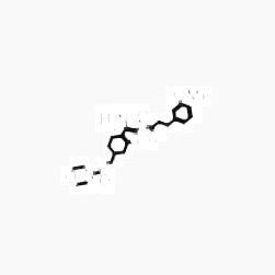 COc1cccc(CCC(=O)Nc2sc3c(c2N)CCC(COC(=O)N2CCOCC2)C3)c1